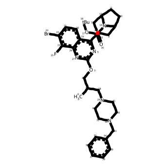 CC(COc1nc(N2CC3CCC(C2)N3C(=O)OC(C)(C)C)c2ccc(Br)c(F)c2n1)CN1CCN(Cc2ccccc2)CC1